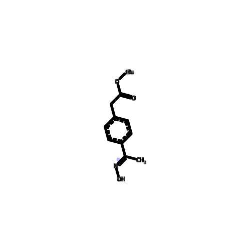 C/C(=N\O)c1ccc(CC(=O)OC(C)(C)C)cc1